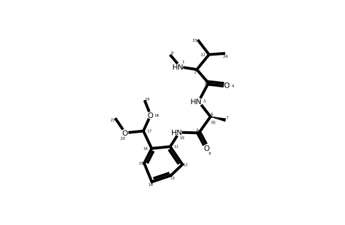 CNC(C(=O)N[C@@H](C)C(=O)Nc1ccccc1C(OC)OC)C(C)C